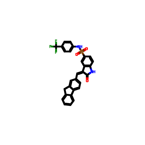 O=C1Nc2ccc(S(=O)(=O)Nc3ccc(C(F)(F)F)cc3)cc2C1=Cc1ccc2c(c1)Cc1ccccc1-2